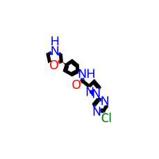 O=C(Nc1ccc([C@H]2CNCCO2)cc1)c1ccn(-c2cnc(Cl)cn2)n1